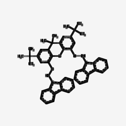 CC(C)(C)c1cc(OPn2c3ccccc3c3ccccc32)c2c(c1)C(C)(C)c1cc(C(C)(C)C)cc(OPn3c4ccccc4c4ccccc43)c1O2